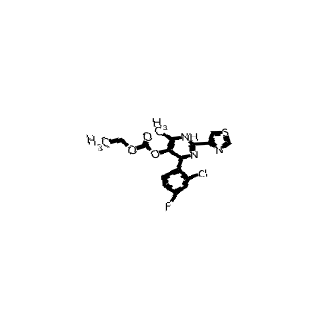 CCOC(=O)OC1=C(C)NC(c2cscn2)=NC1c1ccc(F)cc1Cl